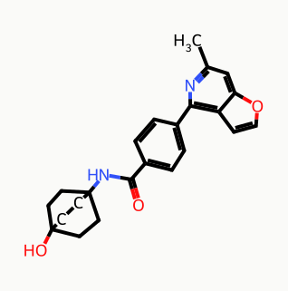 Cc1cc2occc2c(-c2ccc(C(=O)NC34CCC(O)(CC3)CC4)cc2)n1